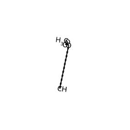 C#CC#CC#CC#CC#CC#CC#CC#CC#CC#CC#COC(=O)OC